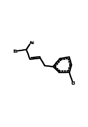 CCC(C=CCc1cccc(Cl)c1)C(C)=O